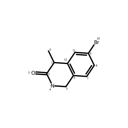 CC1C(=O)[N]Cc2ccc(Br)cc21